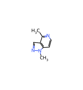 Cc1nccc2c1cnn2C